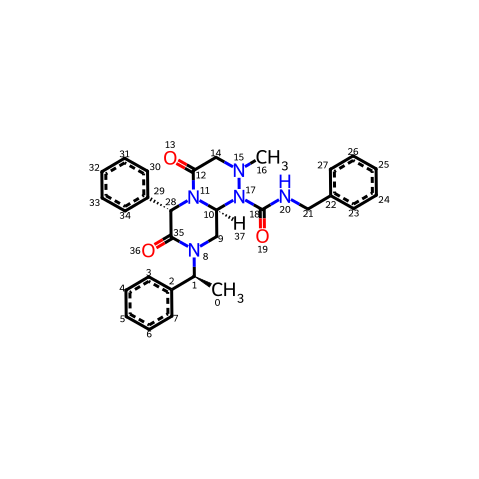 C[C@@H](c1ccccc1)N1C[C@H]2N(C(=O)CN(C)N2C(=O)NCc2ccccc2)[C@@H](c2ccccc2)C1=O